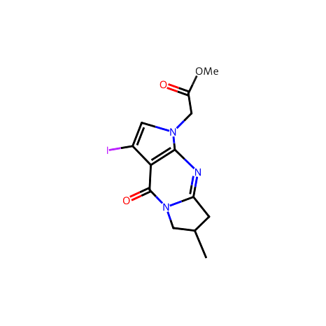 COC(=O)Cn1cc(I)c2c(=O)n3c(nc21)CC(C)C3